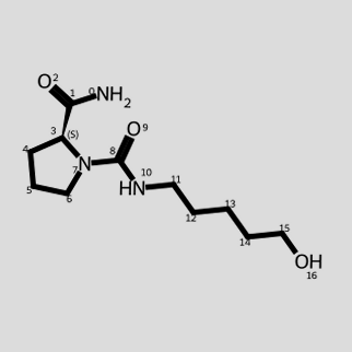 NC(=O)[C@@H]1CCCN1C(=O)NCCCCCO